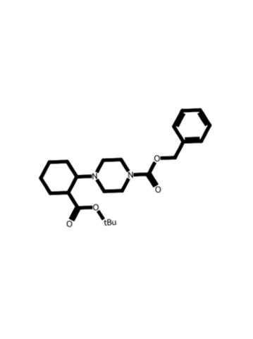 CC(C)(C)OC(=O)C1CCCCC1N1CCN(C(=O)OCc2ccccc2)CC1